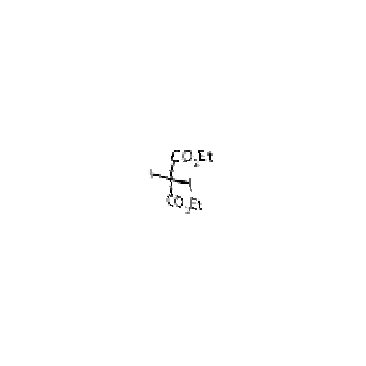 CCOC(=O)C(I)(I)C(=O)OCC